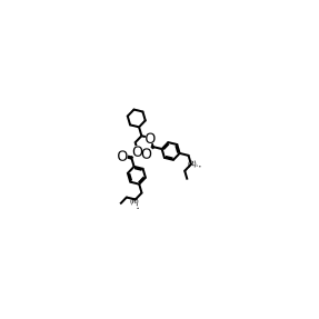 CC[C@@H](C)Cc1ccc(C(=O)OCC(OC(=O)c2ccc(C[C@H](C)CC)cc2)C2CCCCC2)cc1